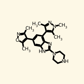 Cc1noc(C)c1-c1cc(-c2c(C)nn(C)c2C)c2nc(N3CCNCC3)[nH]c2c1